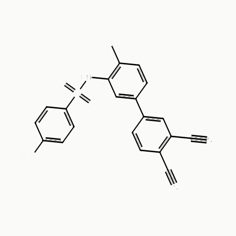 Cc1ccc(-c2ccc(C#N)c(C#N)c2)cc1NS(=O)(=O)c1ccc(O)cc1